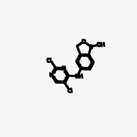 OB1OCc2cc(Nc3nc(Cl)ncc3Cl)ccc21